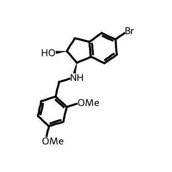 COc1ccc(CN[C@@H]2c3ccc(Br)cc3C[C@@H]2O)c(OC)c1